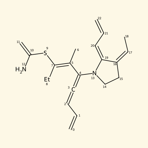 C=CC=C=C(/C(C)=C(\CC)SC(=C)N)N1CCC(=C/C)/C1=C\C=C